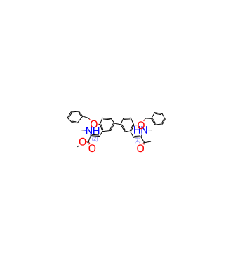 CN/C(=C\c1cc(-c2ccc(OCc3ccccc3)c(/C=C(\NC)C(=O)OC)c2)ccc1OCc1ccccc1)C(C)=O